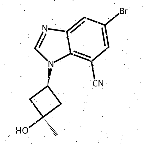 C[C@]1(O)C[C@@H](n2cnc3cc(Br)cc(C#N)c32)C1